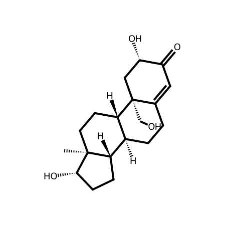 C[C@]12CC[C@H]3[C@@H](CCC4=CC(=O)[C@@H](O)C[C@@]43CO)[C@@H]1CC[C@@H]2O